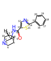 O=C(N[C@H]1CN2CCC1CC2)c1cnc(-c2ccccc2)s1